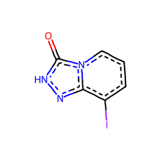 O=c1[nH]nc2c(I)cccn12